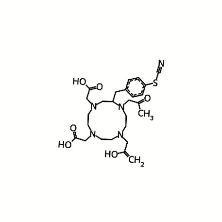 C=C(O)CN1CCN(CC(=O)O)CCN(CC(=O)O)CC(Cc2ccc(SC#N)cc2)N(CC(C)=O)CC1